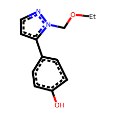 CCOCn1nccc1-c1ccc(O)cc1